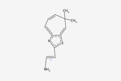 CC1(C)C=CC=c2nc(/C=C/N)sc2=C1